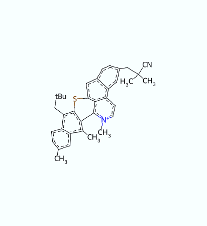 Cc1ccc2c(CC(C)(C)C)c3c(c(C)c2c1)-c1c2c(cc4ccc(CC(C)(C)C#N)cc4c2cc[n+]1C)S3